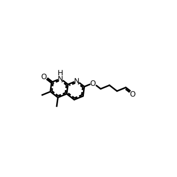 Cc1c(C)c2ccc(OCCCC=O)nc2[nH]c1=O